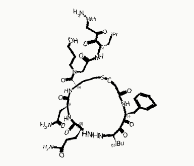 CC[C@H](C)C1NN[C@@H](CCC(N)=O)C(=O)N[C@@H](CC(N)=O)C(=O)N[C@H](C(=O)N(CCCO)CC(=O)N[C@@H](CC(C)C)C(=O)C(=O)CNN)CCSCCC(=O)N[C@@H](Cc2ccccc2)C(=O)C1=O